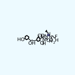 O=C(NC(N/C(=N\C1C=C1)NCCF)C(=O)O)c1c(Cl)cc(CCC(O)c2cccc(O)c2)cc1Cl